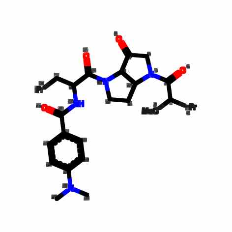 CCCC(OC)C(=O)N1CC(=O)C2C1CCN2C(=O)C(CC(C)C)NC(=O)c1ccc(N(C)C)cc1